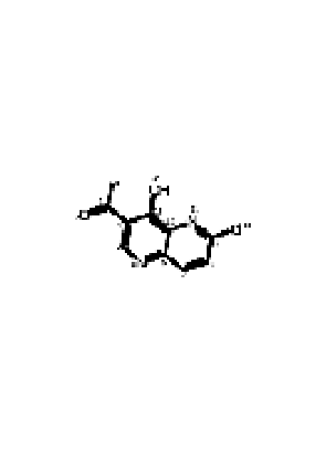 CC(=O)c1cnc2ccc(Cl)nc2c1O